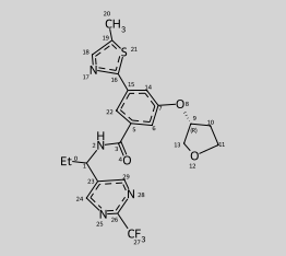 CCC(NC(=O)c1cc(O[C@@H]2CCOC2)cc(-c2ncc(C)s2)c1)c1cnc(C(F)(F)F)nc1